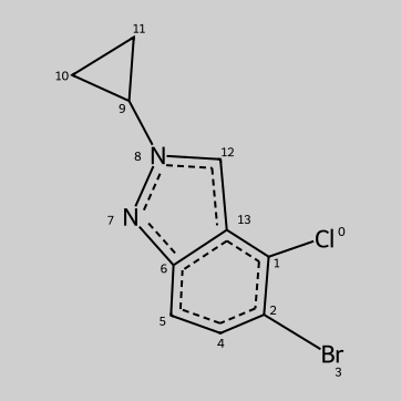 Clc1c(Br)ccc2nn(C3CC3)cc12